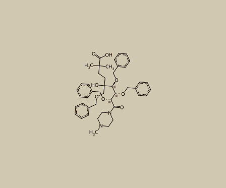 CN1CCN(C(=O)[C@H](OCc2ccccc2)[C@@H](OCc2ccccc2)[C@H](OCc2ccccc2)C(O)(CCC(C)(C)C(=O)O)COCc2ccccc2)CC1